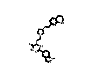 Cn1ncc2cc(C(=O)N[C@H](CCN3CC[C@@H](CCc4ccc5c(n4)NCCC5)C3)C(=O)O)ccc21